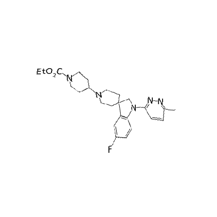 CCOC(=O)N1CCC(N2CCC3(CC2)CN(c2ccc(C)nn2)c2ccc(F)cc23)CC1